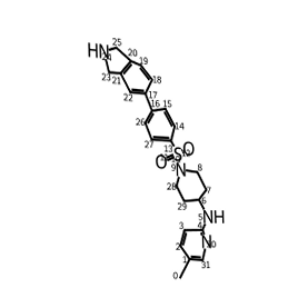 Cc1ccc(NC2CCN(S(=O)(=O)c3ccc(-c4ccc5c(c4)CNC5)cc3)CC2)nc1